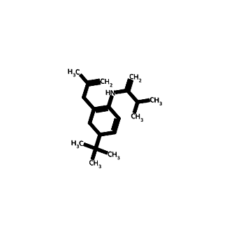 C=C(C)CC1=C(NC(=C)C(C)C)C=CC(C(C)(C)C)C1